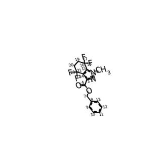 Cn1nc(C(=O)OCc2ccccc2)c2c1C(F)(F)CCC2(F)F